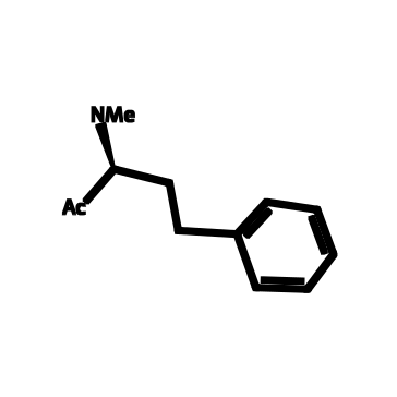 CN[C@@H](CCc1ccccc1)C(C)=O